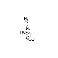 COc1ccc2nccc(C(F)CC[C@@H]3CCN(CCCCc4ccncc4)C[C@@H]3C(=O)O)c2c1